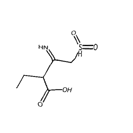 CCC(C(=N)C[SH](=O)=O)C(=O)O